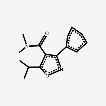 CC(C)c1onc(-c2ccccc2)c1C(=O)N(C)C